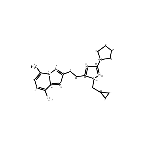 Cc1ncc(C)n2nc(CCc3nc(N4CCCC4)nn3CC3CC3)nc12